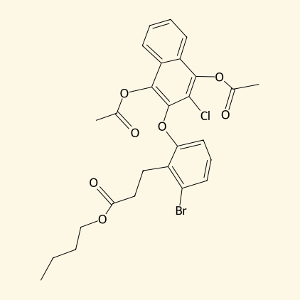 CCCCOC(=O)CCc1c(Br)cccc1Oc1c(Cl)c(OC(C)=O)c2ccccc2c1OC(C)=O